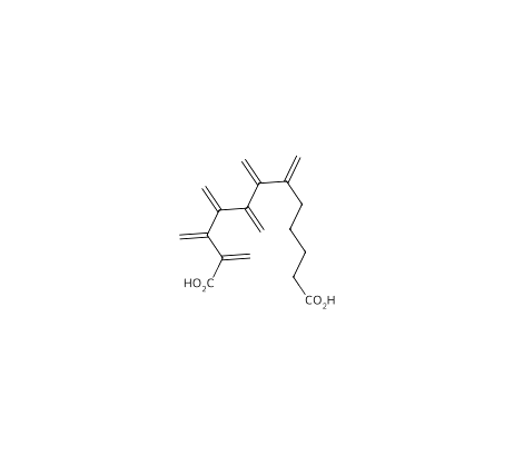 C=C(CCCCC(=O)O)C(=C)C(=C)C(=C)C(=C)C(=C)C(=O)O